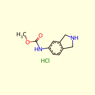 COC(=O)Nc1ccc2c(c1)CNC2.Cl